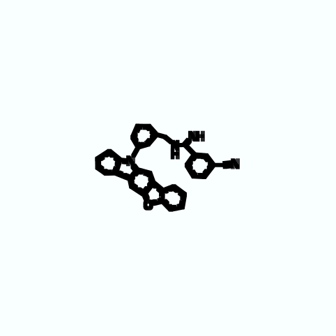 N#Cc1cccc(C(=N)NCc2cccc(-n3c4ccccc4c4cc5oc6ccccc6c5cc43)c2)c1